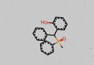 CP(=O)(c1ccccc1)C(c1ccccc1)c1ccccc1O